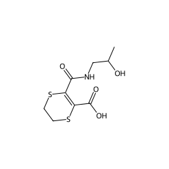 CC(O)CNC(=O)C1=C(C(=O)O)SCCS1